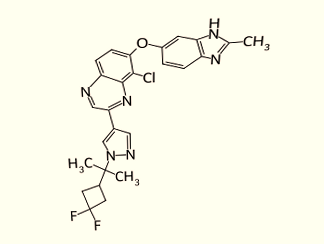 Cc1nc2ccc(Oc3ccc4ncc(-c5cnn(C(C)(C)C6CC(F)(F)C6)c5)nc4c3Cl)cc2[nH]1